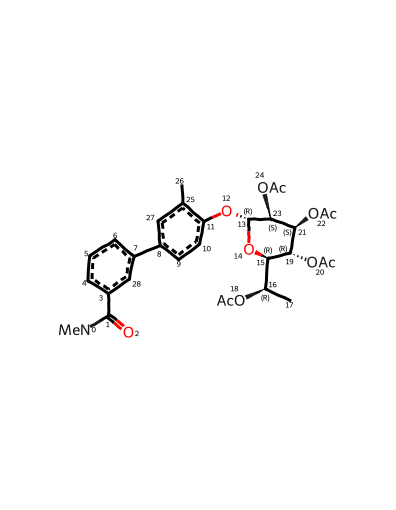 CNC(=O)c1cccc(-c2ccc(O[C@H]3O[C@H]([C@@H](C)OC(C)=O)[C@@H](OC(C)=O)[C@H](OC(C)=O)[C@@H]3OC(C)=O)c(C)c2)c1